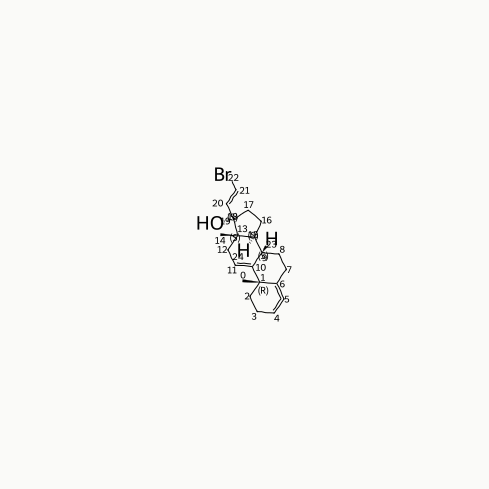 C[C@]12CCC=C=C1CC[C@@H]1C2=CC[C@@]2(C)[C@H]1CC[C@]2(O)C=CBr